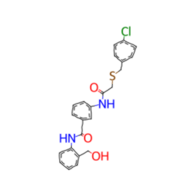 O=C(CSCc1ccc(Cl)cc1)Nc1cccc(C(=O)Nc2ccccc2CO)c1